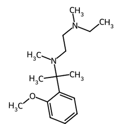 CCN(C)CCN(C)C(C)(C)c1ccccc1OC